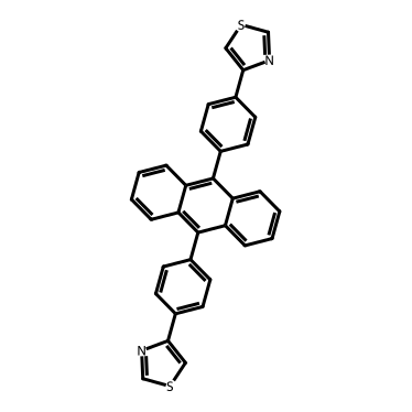 c1ccc2c(-c3ccc(-c4cscn4)cc3)c3ccccc3c(-c3ccc(-c4cscn4)cc3)c2c1